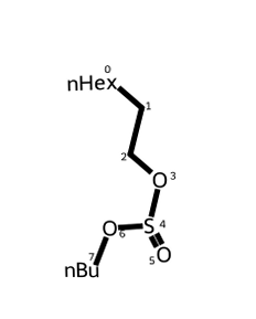 CCCCCCCCOS(=O)OCCCC